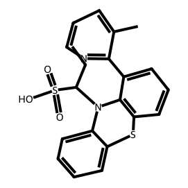 CCC(N1c2ccccc2Sc2cccc(-c3ncccc3C)c21)S(=O)(=O)O